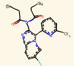 CC(C)(C)CC(=O)N(C(=O)CC(C)(C)C)c1nc2ccc(F)cn2c1-c1cccc(C(F)(F)F)n1